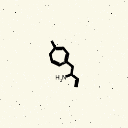 C=CC(N)CC1=CC=C(C)CC=C1